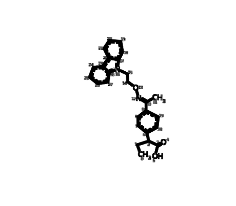 CCC(C(=O)O)c1ccc(/C(C)=N/OCCn2c3ccccc3c3ccccc32)cc1